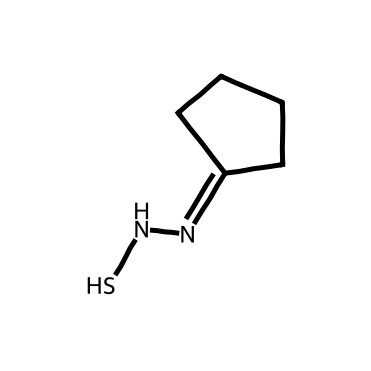 SNN=C1CCCC1